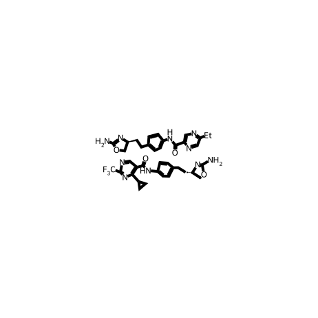 CCc1cnc(C(=O)Nc2ccc(CC[C@H]3COC(N)=N3)cc2)cn1.NC1=N[C@@H](CCc2ccc(NC(=O)c3cnc(C(F)(F)F)nc3C3CC3)cc2)CO1